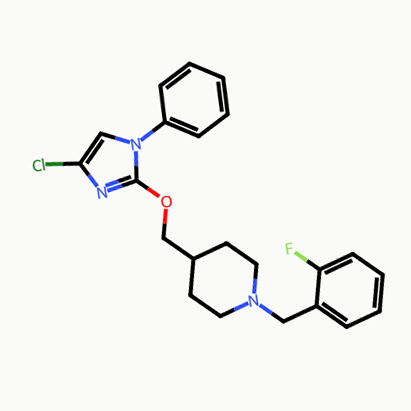 Fc1ccccc1CN1CCC(COc2nc(Cl)cn2-c2ccccc2)CC1